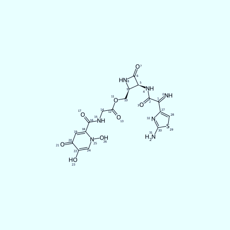 N=C(C(=O)N[C@@H]1C(=O)N[C@@H]1COC(=O)CNC(=O)c1cc(=O)c(O)cn1O)c1csc(N)n1